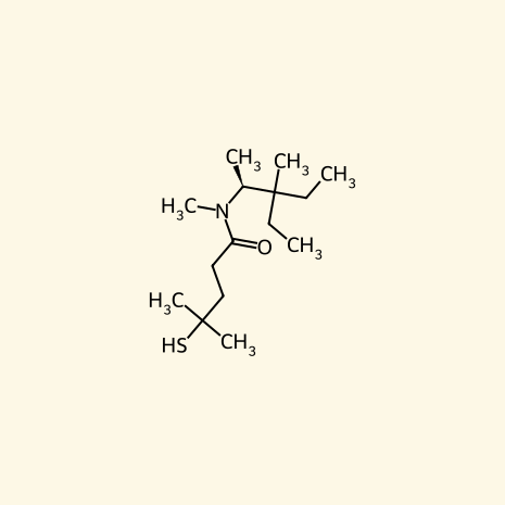 CCC(C)(CC)[C@H](C)N(C)C(=O)CCC(C)(C)S